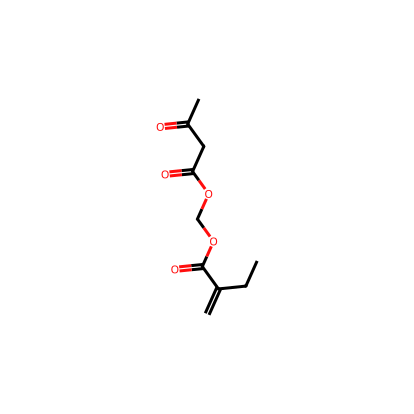 C=C(CC)C(=O)OCOC(=O)CC(C)=O